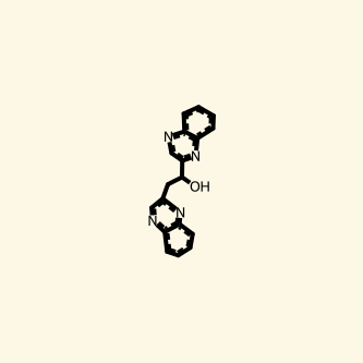 OC(Cc1cnc2ccccc2n1)c1cnc2ccccc2n1